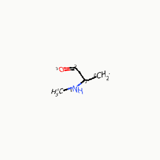 [CH2]C(C=O)NC